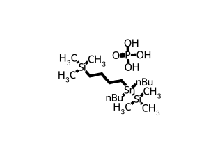 CCC[CH2][Sn]([CH2]CCC)([CH2]CCC[Si](C)(C)C)[Si](C)(C)C.O=P(O)(O)O